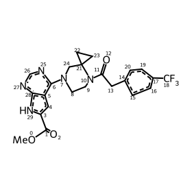 COC(=O)c1cc2c(N3CCN(C(=O)Cc4ccc(C(F)(F)F)cc4)C4(CC4)C3)ncnc2[nH]1